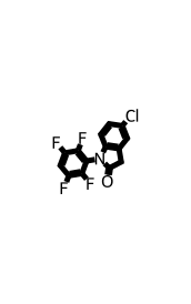 O=C1Cc2cc(Cl)ccc2N1c1c(F)c(F)cc(F)c1F